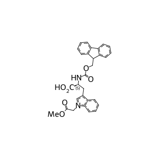 COC(=O)Cn1cc(C[C@H](NC(=O)OCC2c3ccccc3-c3ccccc32)C(=O)O)c2ccccc21